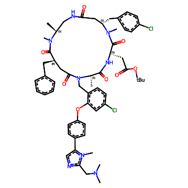 C[C@H]1CNC(=O)C[C@H](Cc2ccc(Cl)cc2)N(C)C(=O)[C@H](CC(=O)OC(C)(C)C)NC(=O)[C@H](C)N(Cc2ccc(Cl)cc2Oc2ccc(-c3cnc(CN(C)C)n3C)cc2)C(=O)C[C@@H](Cc2ccccc2)C(=O)N1C